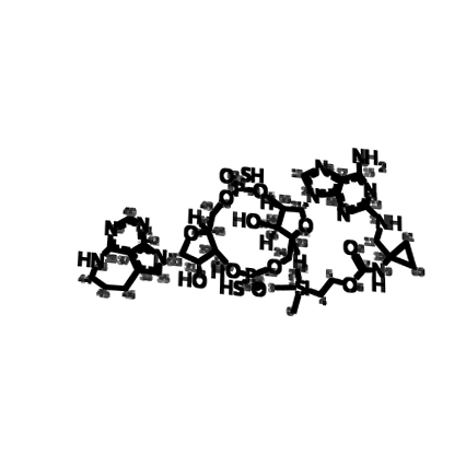 C[Si](C)(C)CCOC(=O)NC1(CNc2nc(N)c3ncn([C@@H]4O[C@@H]5COP(=O)(S)O[C@H]6[C@@H](O)[C@H](n7cc8c9c(ncnc97)NCCC8)O[C@@H]6COP(=O)(S)O[C@@H]4[C@@H]5O)c3n2)CC1